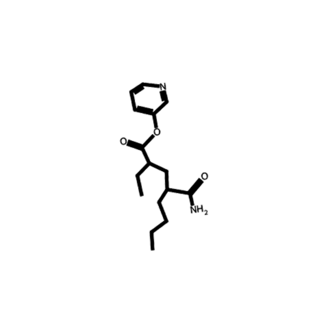 CCCCC(CC(CC)C(=O)Oc1cccnc1)C(N)=O